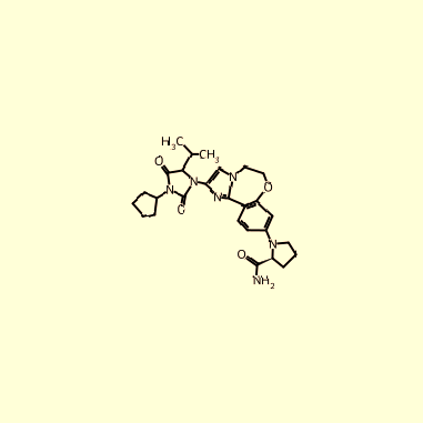 CC(C)C1C(=O)N(C2CCCC2)C(=O)N1c1cn2c(n1)-c1ccc(N3CCC[C@H]3C(N)=O)cc1OCC2